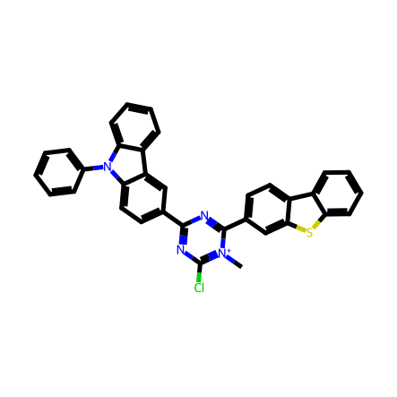 C[n+]1c(Cl)nc(-c2ccc3c(c2)c2ccccc2n3-c2ccccc2)nc1-c1ccc2c(c1)sc1ccccc12